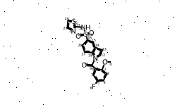 COc1ccc(F)cc1C(=O)n1ccc2cc(S(=O)(=O)Nc3nccs3)ccc21